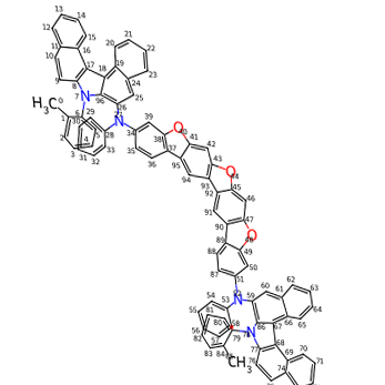 Cc1ccccc1-n1c2ccc3ccccc3c2c2c3ccccc3cc(N(c3ccccc3)c3ccc4c(c3)oc3cc5oc6cc7oc8cc(N(c9ccccc9)c9cc%10ccccc%10c%10c%11c%12ccccc%12ccc%11n(-c%11ccccc%11C)c9%10)ccc8c7cc6c5cc34)c21